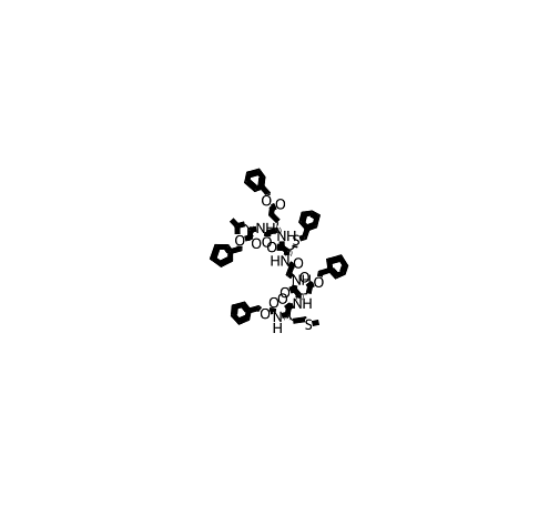 CSCC[C@H](NC(=O)OCc1ccccc1)C(=O)N[C@@H](CC(=O)OCc1ccccc1)C(=O)NCC(=O)N[C@@H](CSCc1ccccc1)C(=O)N[C@@H](CCC(=O)OCc1ccccc1)C(=O)N[C@@H](CC(C)C)C(=O)OCc1ccccc1